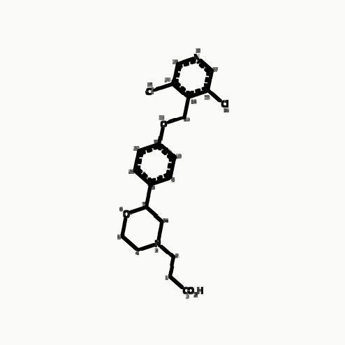 O=C(O)CCN1CCOC(c2ccc(OCc3c(Cl)cncc3Cl)cc2)C1